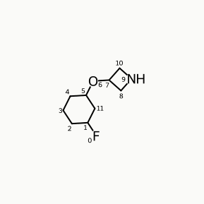 FC1CCCC(OC2CNC2)C1